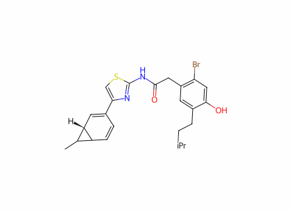 CC(C)CCc1cc(CC(=O)Nc2nc(C3=C[C@H]4C(C)C4C=C3)cs2)c(Br)cc1O